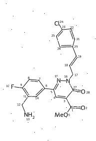 COC(=O)c1cc(-c2ccc(F)c(CN)c2)nn(C/C=C/c2ccc(Cl)cc2)c1=O